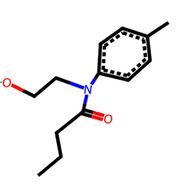 CCCC(=O)N(CC[O])c1ccc(C)cc1